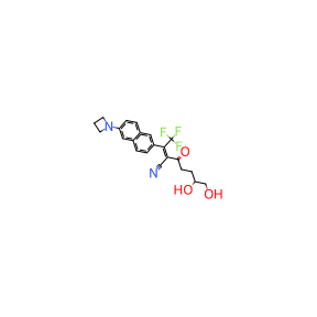 N#C/C(C(=O)CCC(O)CO)=C(\c1ccc2cc(N3CCC3)ccc2c1)C(F)(F)F